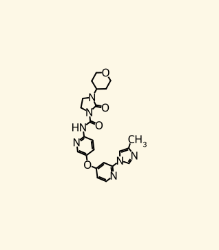 Cc1cn(-c2cc(Oc3ccc(NC(=O)N4CCN(C5CCOCC5)C4=O)nc3)ccn2)cn1